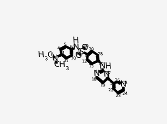 CN(C)c1ccc(NS(=O)(=O)c2ccc(Nc3nccc(-c4cccnc4)n3)cc2)cc1